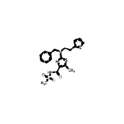 Cc1sc(N(CCc2cccs2)Cc2ccccc2)nc1C(=O)NS(C)(=O)=O